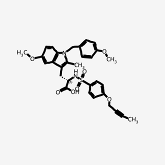 CC#CCOc1ccc(S(=O)(=O)N[C@@H](Cc2c(C)n(Cc3ccc(OC)cc3)c3ccc(OC)cc23)C(=O)O)cc1